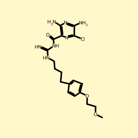 COCCOc1ccc(CCCCNC(=N)NC(=O)c2nc(Cl)c(N)nc2N)cc1